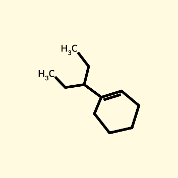 CCC(CC)C1=CCCCC1